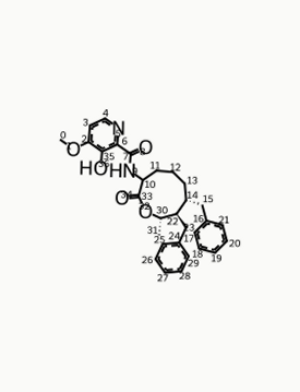 COc1ccnc(C(=O)NC2CCC[C@H](Cc3ccccc3)[C@@H](Cc3ccccc3)[C@H](C)OC2=O)c1O